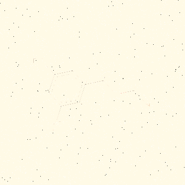 FC(F)(F)c1cc(COCBr)cc(C(F)(F)F)c1